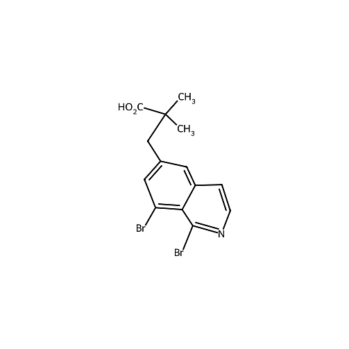 CC(C)(Cc1cc(Br)c2c(Br)nccc2c1)C(=O)O